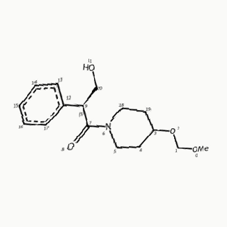 COCOC1CCN(C(=O)[C@H](CO)c2ccccc2)CC1